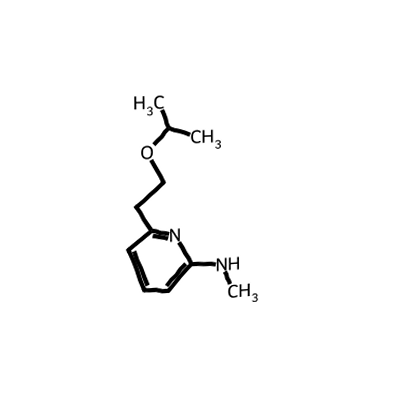 CNc1cccc(CCOC(C)C)n1